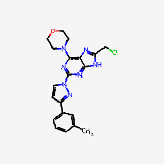 Cc1cccc(-c2ccn(-c3nc(N4CCOCC4)c4nc(CCl)[nH]c4n3)n2)c1